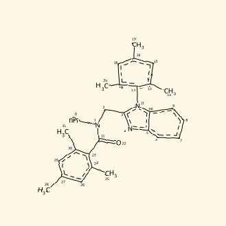 CCCN(Cc1nc2ccccc2n1-c1c(C)cc(C)cc1C)C(=O)c1c(C)cc(C)cc1C